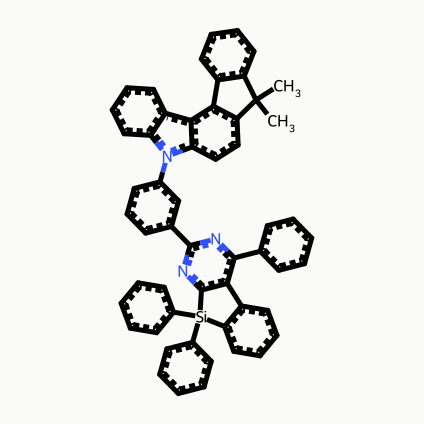 CC1(C)c2ccccc2-c2c1ccc1c2c2ccccc2n1-c1cccc(-c2nc(-c3ccccc3)c3c(n2)[Si](c2ccccc2)(c2ccccc2)c2ccccc2-3)c1